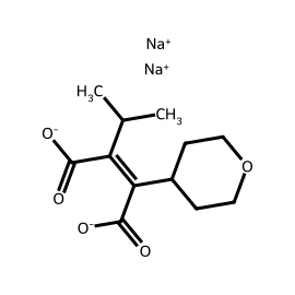 CC(C)/C(C(=O)[O-])=C(/C(=O)[O-])C1CCOCC1.[Na+].[Na+]